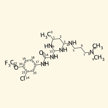 CC1CC(NCCCN(C)C)NC(NC(=O)Nc2ccc(OC(F)(F)F)c(Cl)c2)N1